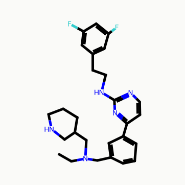 CCN(Cc1cccc(-c2ccnc(NCCc3cc(F)cc(F)c3)n2)c1)CC1CCCNC1